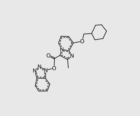 Cc1nc2c(OCC3CCCCC3)cccn2c1C(=O)On1nnc2ccccc21